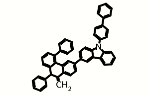 C=C1c2ccc(-c3ccc4c(c3)c3ccccc3n4-c3ccc(-c4ccccc4)cc3)cc2-c2c(-c3ccccc3)cccc2C1c1ccccc1